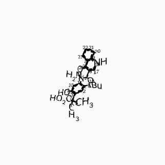 CC(C)(C)c1cc(C(C)(C)C(=O)O)c(O)cc1N(N)C(=O)c1c[nH]c2ccccc2c1=O